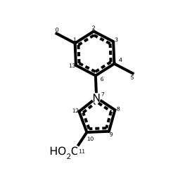 Cc1ccc(C)c(-n2ccc(C(=O)O)c2)c1